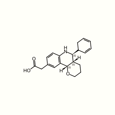 O=C(O)Cc1ccc2c(c1)[C@H]1OCCC[C@H]1[C@H](C1C=CC=CC1)N2